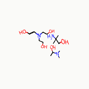 CC(C)(N)CO.CC(O)N(C)C.OCCN(CCO)CCO